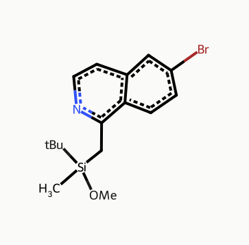 CO[Si](C)(Cc1nccc2cc(Br)ccc12)C(C)(C)C